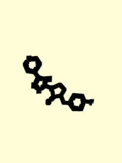 O=C1C(Cc2ccc(F)cc2)CCN1c1nnc(-c2ccncc2)[nH]1